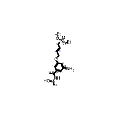 CCOP(=O)(C/C=C/COc1cc(N)cc([C@H](C)NB(C)O)c1)OCC